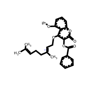 CC(C)=CCC/C(C)=C/COc1c(OC(=O)c2ccccc2)c(=O)oc2cccc(OC(C)C)c12